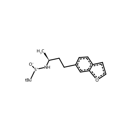 C[C@@H](CCc1ccc2ccoc2c1)N[S+]([O-])C(C)(C)C